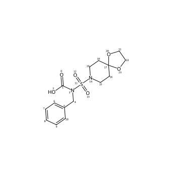 O=C(O)N(Cc1ccccc1)S(=O)(=O)N1CCC2(CC1)OCCO2